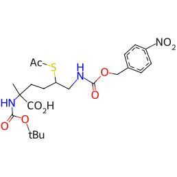 CC(=O)SC(CCC(C)(NC(=O)OC(C)(C)C)C(=O)O)CNC(=O)OCc1ccc([N+](=O)[O-])cc1